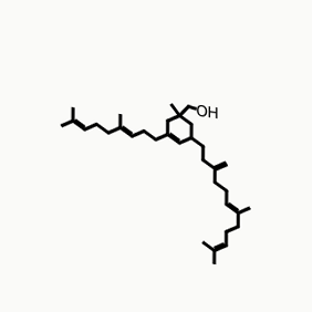 C=C(CC/C=C(\C)CCC=C(C)C)CCC1C=C(CC/C=C(\C)CCC=C(C)C)CC(C)(CO)C1